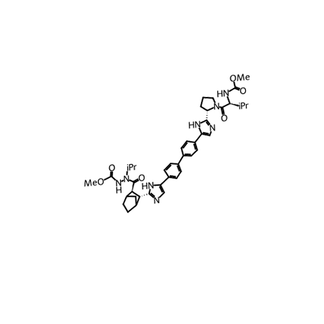 COC(=O)N[C@H](C(=O)N1CCC[C@H]1c1ncc(-c2ccc(-c3ccc(-c4cnc([C@@H]5C6CCC(C6)[C@H]5C(=O)N(NC(=O)OC)C(C)C)[nH]4)cc3)cc2)[nH]1)C(C)C